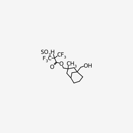 CC1(COC(=O)C(C(F)(F)F)(C(F)(F)F)S(=O)(=O)O)CC2CCCC(CO)(C2)C1